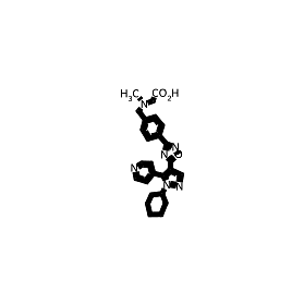 CN(CC(=O)O)Cc1ccc(-c2noc(-c3cnn(C4CCCCC4)c3-c3ccncc3)n2)cc1